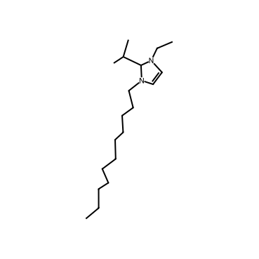 CCCCCCCCCCCN1C=CN(CC)C1C(C)C